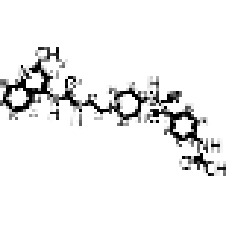 CC(=O)Nc1ccc(S(=O)(=O)NC2CCN(CCNC(=O)Nc3cc(C)nc4ccccc34)CC2)cc1